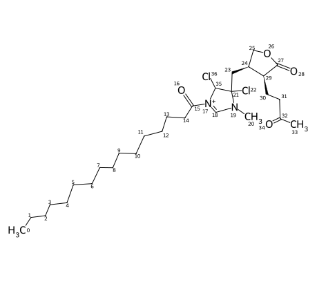 CCCCCCCCCCCCCCCC(=O)[N+]1=CN(C)C(Cl)(C[C@H]2COC(=O)[C@H]2CCC(C)=O)C1Cl